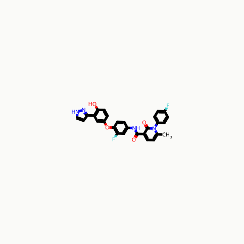 Cc1ccc(C(=O)Nc2ccc(Oc3ccc(O)c(-c4cc[nH]n4)c3)c(F)c2)c(=O)n1-c1ccc(F)cc1